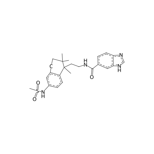 CC1(C)CCc2cc(NS(C)(=O)=O)ccc2C1(C)CCNC(=O)c1ccc2nc[nH]c2c1